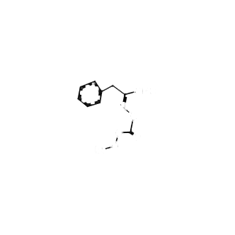 CCOOC(=O)ON=C(C=O)Cc1ccccc1